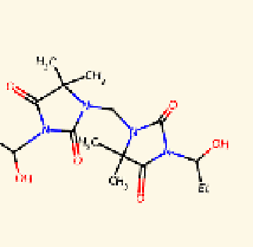 CCC(O)N1C(=O)N(CN2C(=O)N(C(O)CC)C(=O)C2(C)C)C(C)(C)C1=O